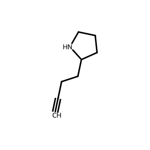 C#CCCC1CCCN1